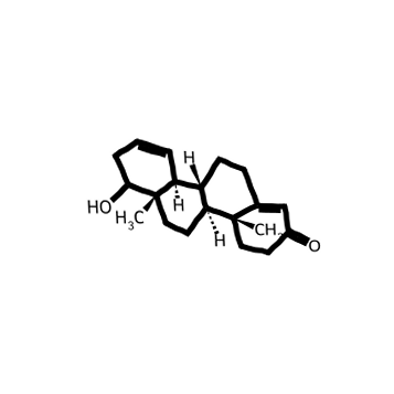 C[C@]12CCC(=O)C=C1CC[C@@H]1[C@@H]2CC[C@]2(C)C(O)CC=C[C@@H]12